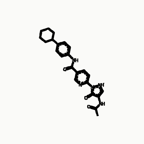 CC(=O)Nc1c[nH]n(-c2ccc(C(=O)Nc3ccc(C4CCCCC4)cc3)cn2)c1=O